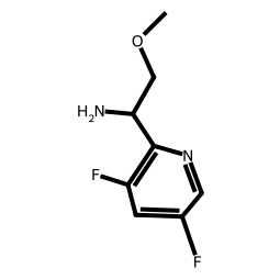 COCC(N)c1ncc(F)cc1F